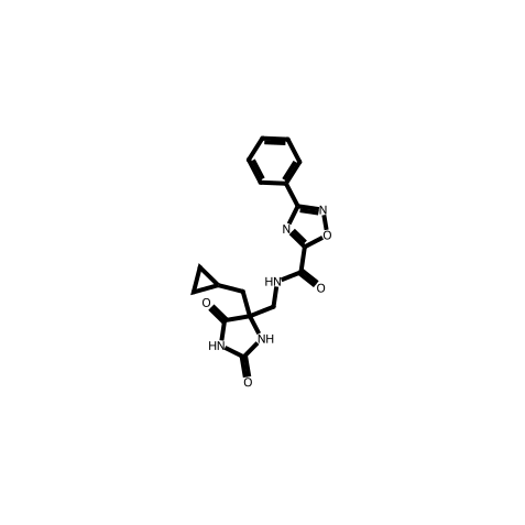 O=C1NC(=O)C(CNC(=O)c2nc(-c3ccccc3)no2)(CC2CC2)N1